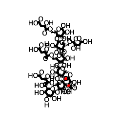 O=C(O)C[C@H](O)C(=O)OC[C@H]1O[C@H](O[C@H]2[C@H](O)[C@@H](O)[C@@H](O[C@H]3[C@H](O)[C@@H](O)[C@@H](O[C@H]4[C@H](O)[C@@H](O)[C@@H](O[C@H]5[C@H](O)[C@@H](O)C(O)O[C@@H]5COC(=O)[C@@H](O)CC(=O)O)O[C@@H]4COC(=O)[C@@H](O)CC(=O)O)O[C@@H]3COC(=O)[C@@H](O)CC(=O)O)O[C@@H]2COC(=O)[C@@H](O)CC(=O)O)[C@H](O)[C@@H](O)[C@@H]1O[C@H]1O[C@H](CO)[C@@H](O)[C@H](O)[C@H]1O